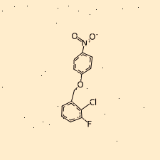 O=[N+]([O-])c1ccc(OCc2cccc(F)c2Cl)cc1